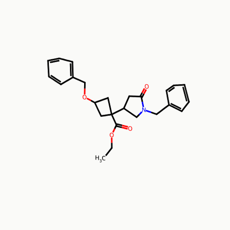 CCOC(=O)C1(C2CC(=O)N(Cc3ccccc3)C2)CC(OCc2ccccc2)C1